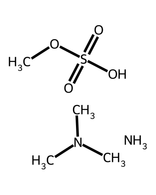 CN(C)C.COS(=O)(=O)O.N